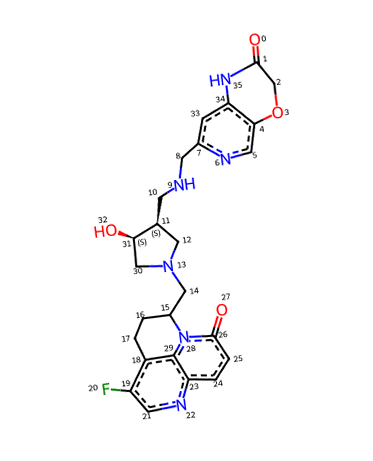 O=C1COc2cnc(CNC[C@H]3CN(CC4CCc5c(F)cnc6ccc(=O)n4c56)C[C@H]3O)cc2N1